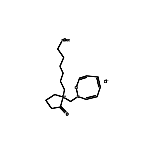 CCCCCCCCCCCCCCCC[N+]1(Cn2cccccco2)CCCC1=O.[Cl-]